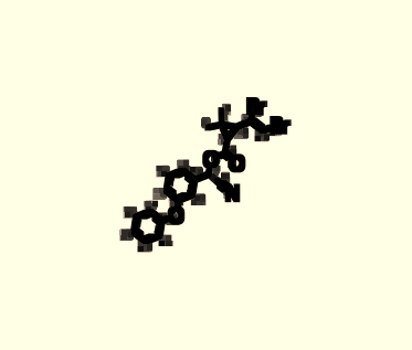 CC1(C)C(C(=O)O[C@@H](C#N)c2cccc(Oc3ccccc3)c2)C1C(Br)=CBr